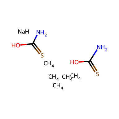 C.C.C.C.C.NC(O)=S.NC(O)=S.[NaH]